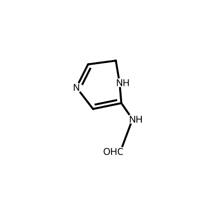 O=CNC1=CN=CCN1